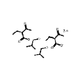 CC(C)C[O-].CC(C)C[O-].CCC(C(C)=O)C(=O)[O-].CCC(C(C)=O)C(=O)[O-].[Zr+4]